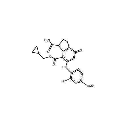 COc1ccc(Nc2cc(=O)n3c(c2C(=O)OCC2CC2)C(C(N)=O)CC3)c(F)c1